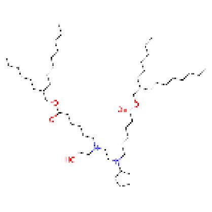 CCCCCCCCC(CCCCCC)COC(=O)CCCCCN(CCO)CCN(CCCCCC(=O)OCC(CCCCCC)CCCCCCCC)C1CCCC1